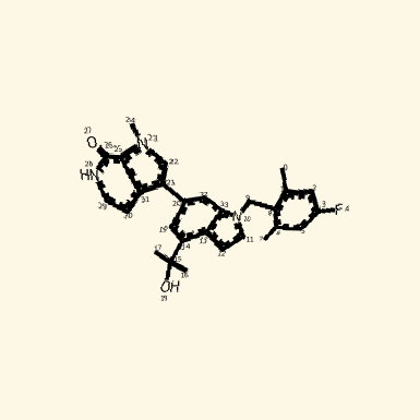 Cc1cc(F)cc(C)c1Cn1ccc2c(C(C)(C)O)cc(-c3cn(C)c4c(=O)[nH]ccc34)cc21